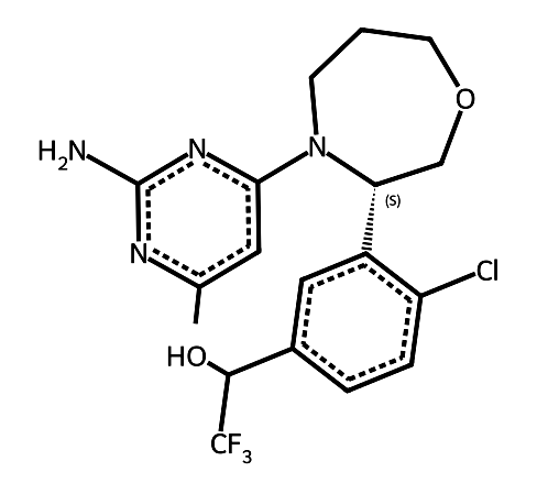 Cc1cc(N2CCCOC[C@@H]2c2cc(C(O)C(F)(F)F)ccc2Cl)nc(N)n1